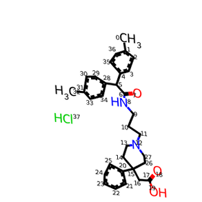 Cc1ccc(C(C(=O)NCCCN2CCC(CC(=O)O)(c3ccccc3)CC2)c2ccc(C)cc2)cc1.Cl